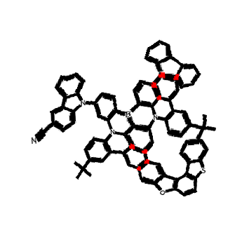 CC(C)(C)c1ccc(N2c3cc(-n4c5ccccc5c5ccccc54)ccc3B3c4ccc(-n5c6ccccc6c6cc(C#N)ccc65)cc4N(c4ccc(C(C)(C)C)cc4-c4ccccc4)c4cc(-c5ccc6oc7ccc8sc9ccccc9c8c7c6c5)cc2c43)c(-c2ccccc2)c1